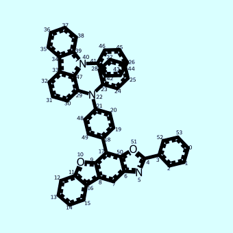 c1ccc(-c2nc3cc4c(oc5ccccc54)c(-c4ccc(N(c5ccccc5)c5cccc6c7ccccc7n(-c7ccccc7)c56)cc4)c3o2)cc1